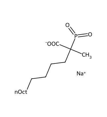 CCCCCCCCCCCCC(C)(C(=O)[O-])P(=O)=O.[Na+]